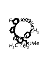 COC(=O)Cc1c(C)c(C)c2nc3c(Cl)n2c1N1CCC(C)(CC1)OCCOCCOc1ccc(F)cc1-c1cccc-3c1